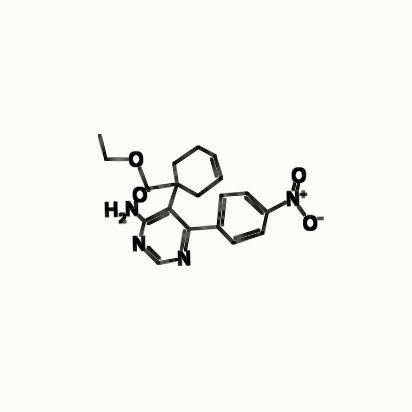 CCOC(=O)C1(c2c(N)ncnc2-c2ccc([N+](=O)[O-])cc2)CC=CCC1